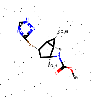 CCOC(=O)[C@H]1C2[C@@H](Sc3nc[nH]n3)C[C@@](NC(=O)OC(C)(C)C)(C(=O)O)[C@@H]21